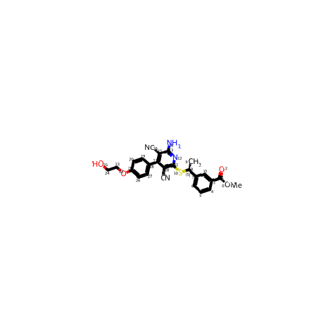 COC(=O)c1cccc([C@H](C)Sc2nc(N)c(C#N)c(-c3ccc(OCCO)cc3)c2C#N)c1